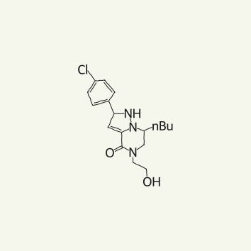 CCCCC1CN(CCO)C(=O)C2=CC(c3ccc(Cl)cc3)NN21